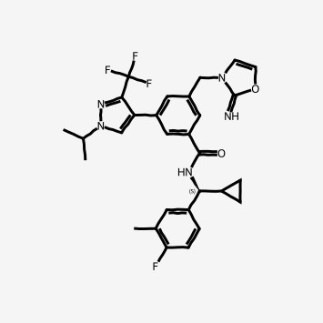 Cc1cc([C@@H](NC(=O)c2cc(Cn3ccoc3=N)cc(-c3cn(C(C)C)nc3C(F)(F)F)c2)C2CC2)ccc1F